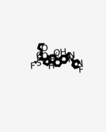 CC12C[C@H](O)[C@@]3(F)C(CCC4=Cc5c(cnn5-c5ccc(F)nc5)C[C@@]43C)[C@@H]1CC[C@]2(OC(=O)C1CCCO1)C(=O)SCF